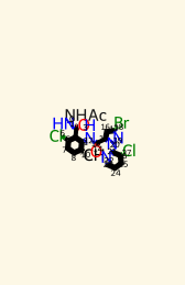 CC(=O)NNC(=O)c1c(Cl)ccc(C)c1NC(=O)c1cc(Br)nn1-c1ncccc1Cl